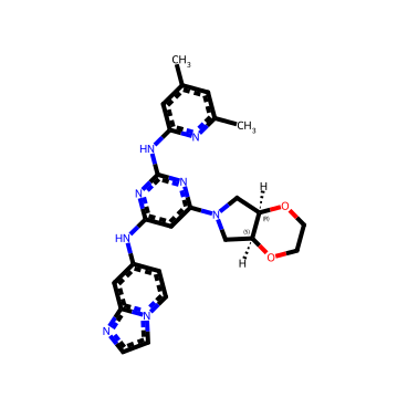 Cc1cc(C)nc(Nc2nc(Nc3ccn4ccnc4c3)cc(N3C[C@@H]4OCCO[C@@H]4C3)n2)c1